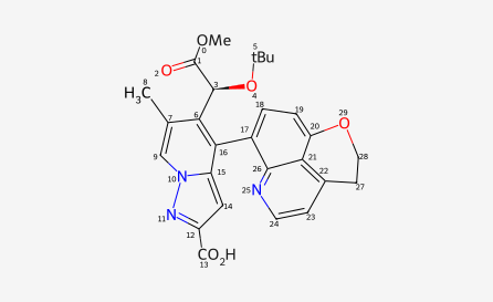 COC(=O)[C@@H](OC(C)(C)C)c1c(C)cn2nc(C(=O)O)cc2c1-c1ccc2c3c(ccnc13)CCO2